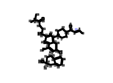 C/C=C/C(=O)N1CCN(c2nc(NCCC(=O)N(C)C)nc3c(F)c([C@H]4C[C@](C)(O)Cc5ccccc54)c(Cl)cc23)CC1